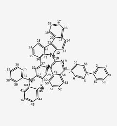 c1ccc(-c2ccc(-c3nc(-n4c5ccc6ccccc6c5c5cccc(-c6ccc7c(c6)N(c6ccccc6)c6ccccc6S7)c54)nc4ccccc34)cc2)cc1